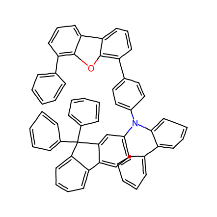 c1ccc(-c2ccccc2N(c2ccc(-c3cccc4c3oc3c(-c5ccccc5)cccc34)cc2)c2ccc3c(c2)C(c2ccccc2)(c2ccccc2)c2ccccc2-3)cc1